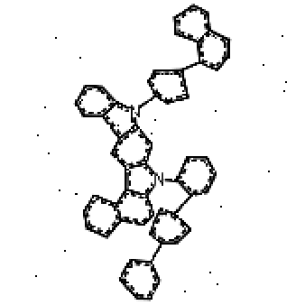 c1ccc(-c2ccc(-c3ccccc3-n3c4cc5c(cc4c4c6ccccc6ccc43)c3ccccc3n5-c3ccc(-c4cccc5ccccc45)cc3)cc2)cc1